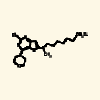 CCOC(=O)CCCCCCN(C)c1cc2nc(Cl)nc(N3CCOCC3)c2s1